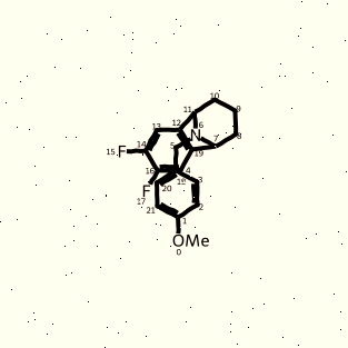 COc1ccc(CN2C3CCCC2c2cc(F)c(F)cc23)cc1